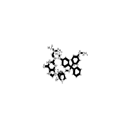 COc1ccc(C(OC[C@@]23CO[C@@H]([C@H](n4cnc5c(=O)[nH]c(N=CN(C)C)nc54)O2)[C@@H]3O)(c2ccccc2)c2ccc(OC)cc2)cc1